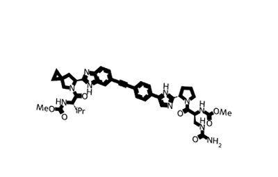 COC(=O)N[C@@H](CNC(N)=O)C(=O)N1CCC[C@H]1c1ncc(-c2ccc(C#Cc3ccc4nc([C@@H]5CC6(CC6)CN5C(=O)[C@@H](NC(=O)OC)C(C)C)[nH]c4c3)cc2)[nH]1